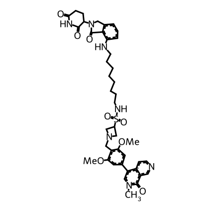 COc1cc(-c2cn(C)c(=O)c3cnccc23)cc(OC)c1CN1CC(S(=O)(=O)NCCCCCCCCNc2cccc3c2C(=O)N(C2CCC(=O)NC2=O)C3)C1